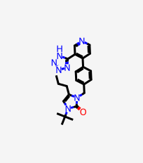 CCCc1cn(C(C)(C)C)c(=O)n1Cc1ccc(-c2ccncc2-c2nnn[nH]2)cc1